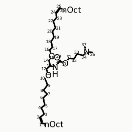 CCCCCCCC/C=C\CCCCCCCCOCC(COCCCCCCCC/C=C\CCCCCCCC)NC(=O)OCCCCN(C)C